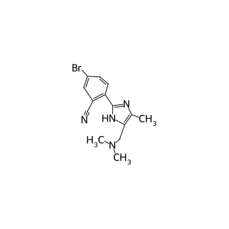 Cc1nc(-c2ccc(Br)cc2C#N)[nH]c1CN(C)C